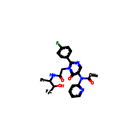 COC(=O)N(c1ccccn1)c1cnc(-c2ccc(F)cc2)n(CC(=O)NC(C(C)C)C(O)C(F)(F)F)c1=O